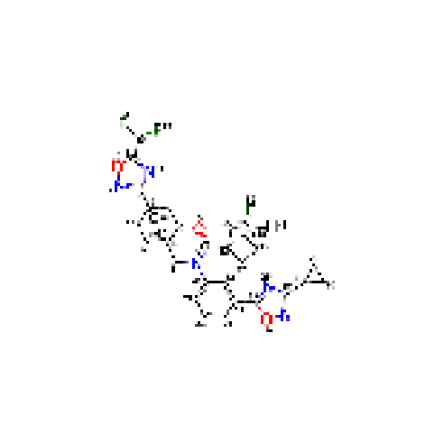 O=C(N(CC12CCC(c3noc(C(F)F)n3)(CC1)CC2)c1cccc(-c2nc(C3CC3)no2)c1)C12CC(C1)[C@@H](F)C2